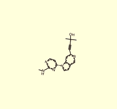 CNc1nccc(-n2ccc3cnc(C#CC(C)(C)O)cc32)n1